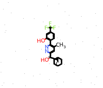 Cc1cc([C@H](O)C2CC3CCC2CC3)nnc1-c1ccc(C(F)(F)F)cc1O